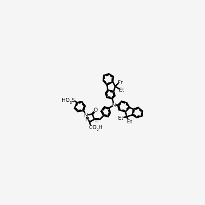 CCC1(CC)c2ccccc2-c2ccc(N(c3ccc(/C=C4\C(=O)N(c5ccc(S(=O)(=O)O)cc5)N=C4C(=O)O)cc3)c3ccc4c(c3)C(CC)(CC)c3ccccc3-4)cc21